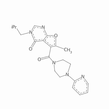 Cc1oc2ncn(CC(C)C)c(=O)c2c1C(=O)N1CCN(c2ccccn2)CC1